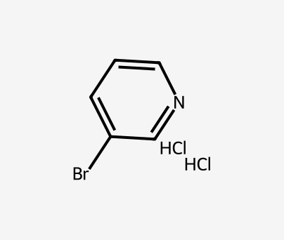 Brc1cccnc1.Cl.Cl